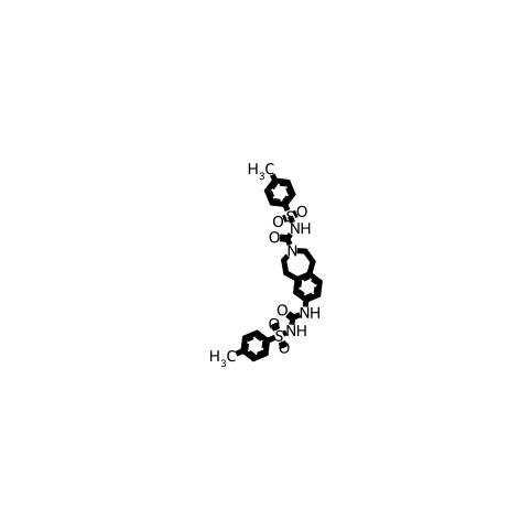 Cc1ccc(S(=O)(=O)NC(=O)Nc2ccc3c(c2)CCN(C(=O)NS(=O)(=O)c2ccc(C)cc2)CC3)cc1